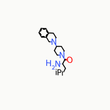 CC(C)C[C@H](N)C(=O)N1CCC(N2CCc3ccccc3C2)CC1